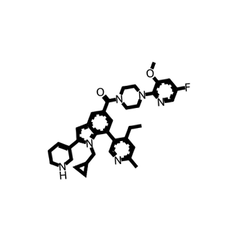 CCc1cc(C)ncc1-c1cc(C(=O)N2CCN(c3ncc(F)cc3OC)CC2)cc2cc(C3=CCCNC3)n(CC3CC3)c12